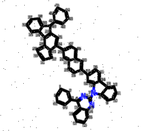 c1ccc(-c2nc(-n3c4ccccc4c4ccc(-c5ccc6cc(-c7cc8c(c9ccccc79)-c7ccccc7C8c7ccccc7)ccc6c5)cc43)nc3ccccc23)cc1